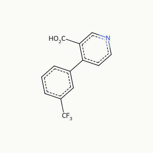 O=C(O)c1cnccc1-c1cccc(C(F)(F)F)c1